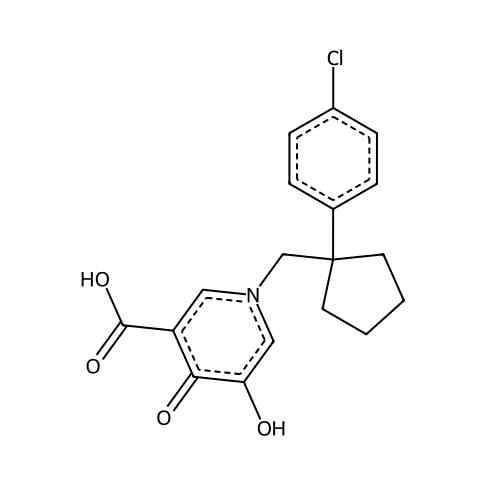 O=C(O)c1cn(CC2(c3ccc(Cl)cc3)CCCC2)cc(O)c1=O